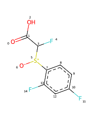 O=C(O)C(F)[S+]([O-])c1ccc(F)cc1F